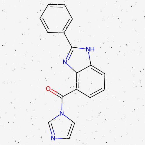 O=C(c1cccc2[nH]c(-c3ccccc3)nc12)n1ccnc1